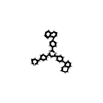 c1ccc2cccc(-c3ccc(-c4nc(-c5ccc(-c6cccnc6)cc5)cc(-c5ccc(-c6cccc7c6C=CCC7)cc5)n4)cc3)c2c#1